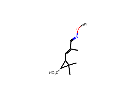 CCCO/N=C/C(C)=C/C1[C@@H](C(=O)O)C1(C)C